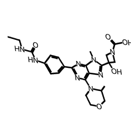 CCNC(=O)Nc1ccc(-c2nc(N3CCOCC3C)c3nc(C4(O)CN(C(=O)O)C4)n(C)c3n2)cc1